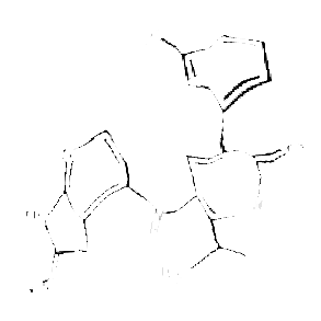 Cc1cccc(-c2cc(Nc3ccnc4c3CC(=O)N4)c(C(C)C)[nH]c2=O)n1